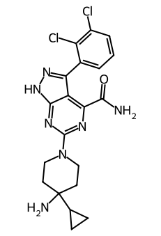 NC(=O)c1nc(N2CCC(N)(C3CC3)CC2)nc2[nH]nc(-c3cccc(Cl)c3Cl)c12